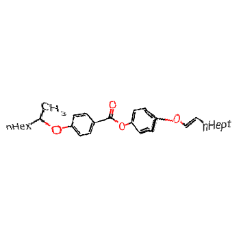 CCCCCCCC=COc1ccc(OC(=O)c2ccc(OC(C)CCCCCC)cc2)cc1